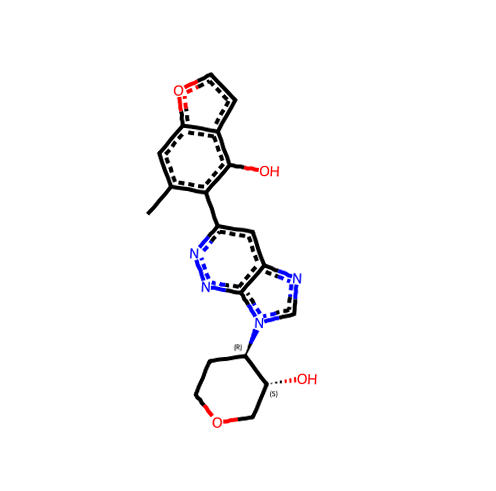 Cc1cc2occc2c(O)c1-c1cc2ncn([C@@H]3CCOC[C@H]3O)c2nn1